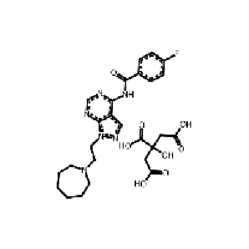 O=C(Nc1ncnc2c1cnn2CCN1CCCCCC1)c1ccc(F)cc1.O=C(O)CC(O)(CC(=O)O)C(=O)O